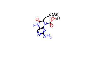 CSCC1C(=O)Nc2cnc(N)nc2N1C(=O)OC(C)C